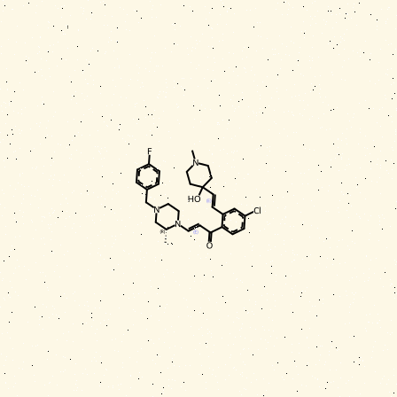 C[C@@H]1CN(Cc2ccc(F)cc2)CCN1/C=C/C(=O)c1ccc(Cl)cc1/C=C/C1(O)CCN(C)CC1